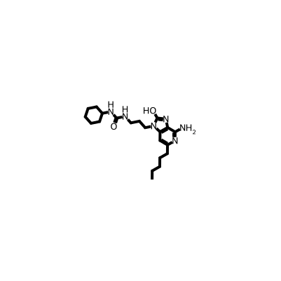 CCCCCc1cc2c(nc(O)n2CCCNC(=O)NC2CCCCC2)c(N)n1